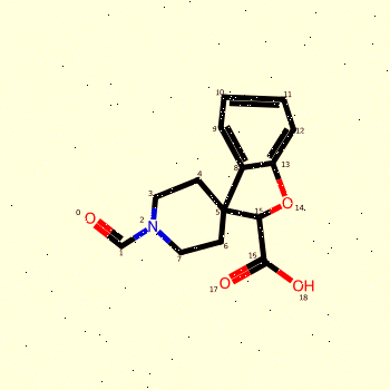 O=CN1CCC2(CC1)c1ccccc1OC2C(=O)O